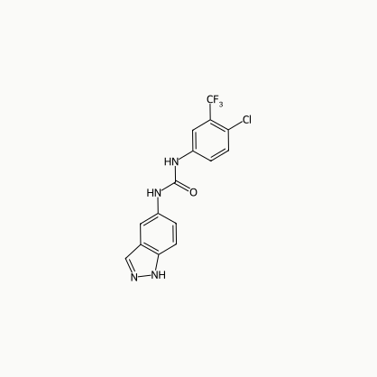 O=C(Nc1ccc(Cl)c(C(F)(F)F)c1)Nc1ccc2[nH]ncc2c1